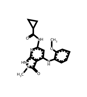 COc1ccccc1Nc1cc(NC(=O)C2CC2)nc2[nH]n(C)c(=O)c12